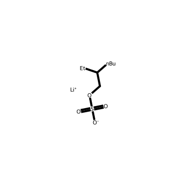 CCCCC(CC)COS(=O)(=O)[O-].[Li+]